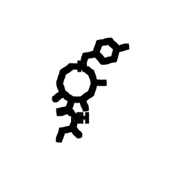 C=C(NC(C)CC)C1C(C)CCCN(CC2CCC(C)CC2)CC(C)CC1C